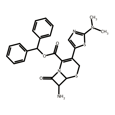 CN(C)c1ncc(C2=C(C(=O)OC(c3ccccc3)c3ccccc3)N3C(=O)C(N)C3SC2)s1